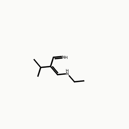 CCN/C=C(\C=N)C(C)C